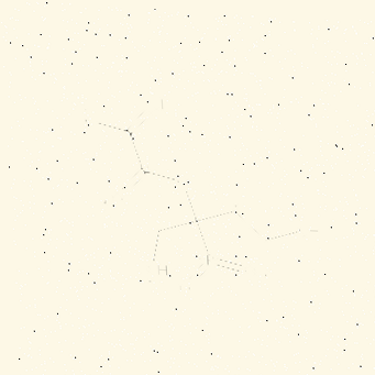 C=C(C)C(=O)OC(CC)(CCC)P(=O)=O